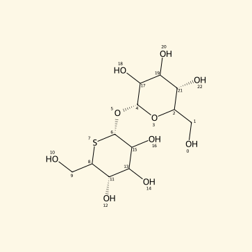 OCC1O[C@H](O[C@H]2SC(CO)[C@@H](O)C(O)C2O)C(O)C(O)[C@@H]1O